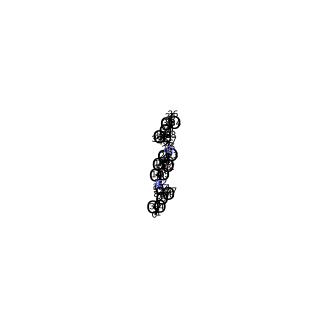 C=CC(=O)OCOc1ccc(/C=C/C(=O)OC2COC3C(OC(=O)/C=C/c4ccc(OCOC(=O)C=C)c(OC)c4)COC23)cc1OC